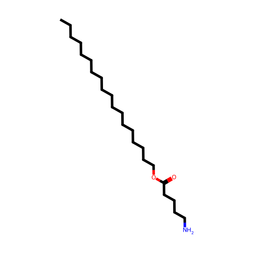 CCCCCCCCCCCCCCCCCCOC(=O)CCCCN